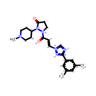 CN1CCC(N2C(=O)CCN2C(=O)C=Cn2cnc(-c3cc(C(F)(F)F)cc(C(F)(F)F)c3)n2)CC1